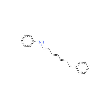 C(=C\C=C\Nc1ccccc1)/C=C/Cc1ccccc1